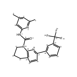 Cc1cc(C)nc(NC(=O)N2CCCc3ccc(-c4cccc(C(F)(F)F)c4)nc32)c1